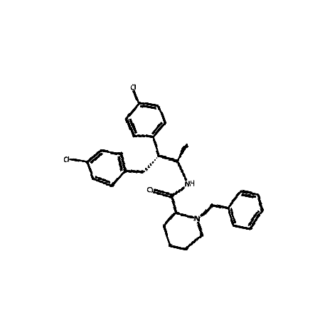 C[C@@H](NC(=O)C1CCCCN1Cc1ccccc1)[C@H](Cc1ccc(Cl)cc1)c1ccc(Cl)cc1